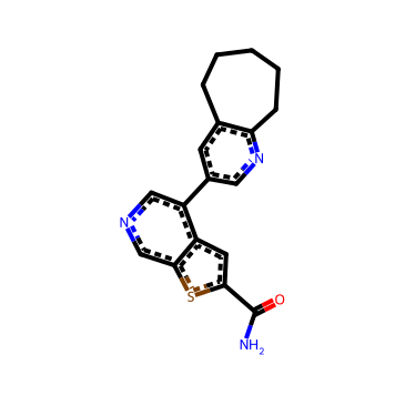 NC(=O)c1cc2c(-c3cnc4c(c3)CCCCC4)cncc2s1